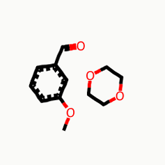 C1COCCO1.COc1cccc(C=O)c1